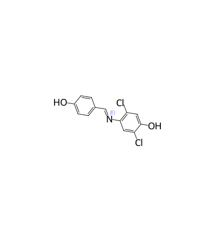 Oc1ccc(/C=N/c2cc(Cl)c(O)cc2Cl)cc1